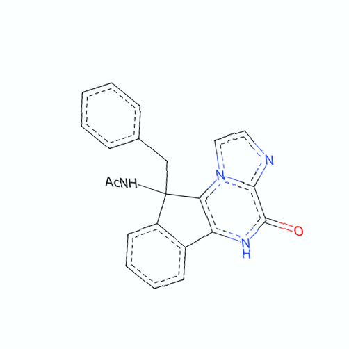 CC(=O)NC1(Cc2ccccc2)c2ccccc2-c2[nH]c(=O)c3nccn3c21